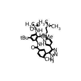 COc1c(NC(=O)c2ccc(C)c(-c3[nH]nnc3-c3ccc(NCCN(C)C)nc3)c2)cc(C(C)(C)C)cc1NS(C)(=O)=O